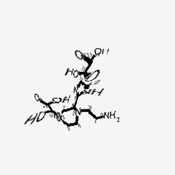 NCCN1CCNCC1c1ncc[nH]1.O=C(O)C(=O)O.O=C(O)C(=O)O